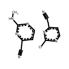 CNc1nccc(C#N)n1.N#Cc1ccnc(Cl)n1